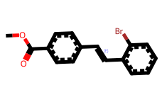 COC(=O)c1ccc(/C=C/c2ccccc2Br)cc1